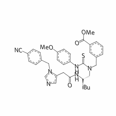 CC[C@H](C)[C@@H](CN(Cc1cccc(C(=O)OC)c1)C(=S)Nc1ccc(OC)cc1)NC(=O)Cc1cncn1Cc1ccc(C#N)cc1